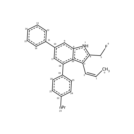 C/C=C\c1c(CF)[nH]c2cc(-c3ccccc3)cc(-c3ccc(CCC)cc3)c12